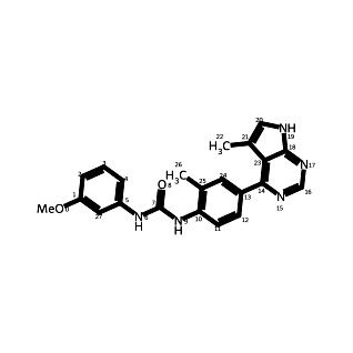 COc1cccc(NC(=O)Nc2ccc(-c3ncnc4[nH]cc(C)c34)cc2C)c1